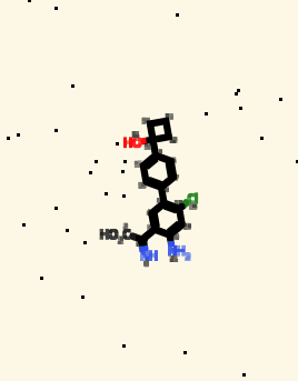 N=C(C(=O)O)c1cc(-c2ccc(C3(O)CCC3)cc2)c(Cl)cc1N